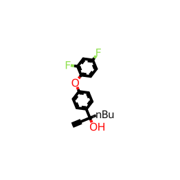 C#CC(O)(CCCC)c1ccc(Oc2ccc(F)cc2F)cc1